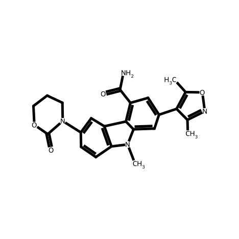 Cc1noc(C)c1-c1cc(C(N)=O)c2c3cc(N4CCCOC4=O)ccc3n(C)c2c1